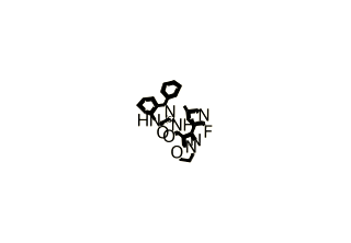 Cc1cnc(F)c(-c2nn3c(c2C(=O)N[C@H]2N=C(c4ccccc4)c4ccccc4NC2=O)OCCC3)c1